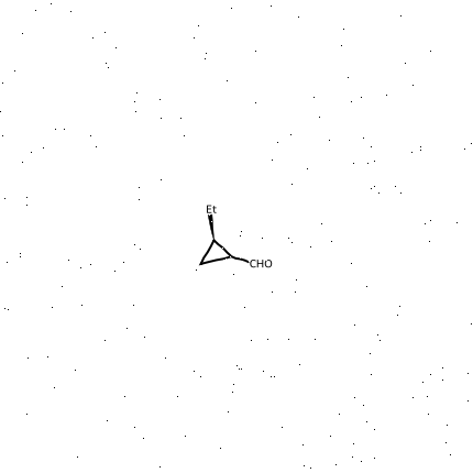 CC[C@@H]1CC1C=O